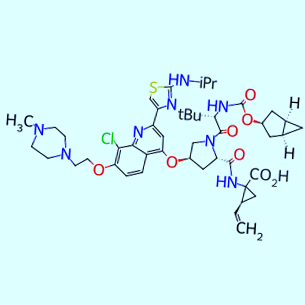 C=C[C@@H]1CC1(NC(=O)[C@@H]1C[C@@H](Oc2cc(-c3csc(NC(C)C)n3)nc3c(Cl)c(OCCN4CCN(C)CC4)ccc23)CN1C(=O)[C@@H](NC(=O)O[C@@H]1C[C@@H]2C[C@@H]2C1)C(C)(C)C)C(=O)O